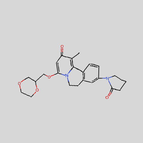 Cc1c2n(c(OCC3COCCO3)cc1=O)CCc1cc(N3CCCC3=O)ccc1-2